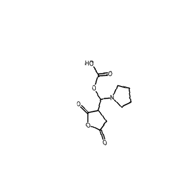 O=C(O)OC(C1CC(=O)OC1=O)N1CCCC1